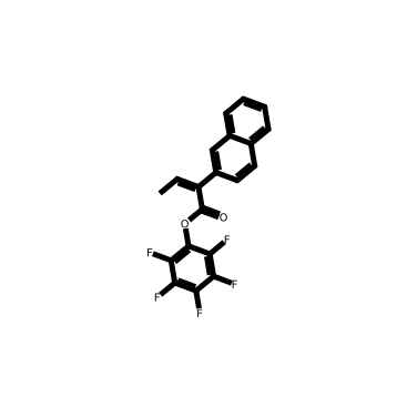 CC=C(C(=O)Oc1c(F)c(F)c(F)c(F)c1F)c1ccc2ccccc2c1